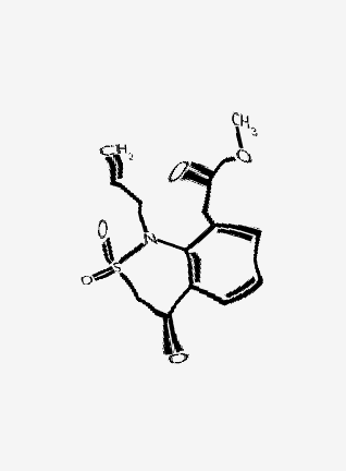 C=CCN1c2c(cccc2C(=O)OC)C(=O)CS1(=O)=O